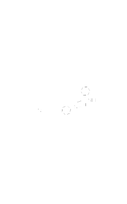 CCN(CC)CCCOc1ccc(NC=C2C(=O)Nc3ccccc32)cc1